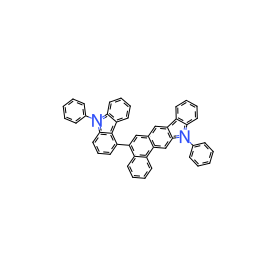 c1ccc(-n2c3ccccc3c3cc4cc(-c5cccc6c5c5ccccc5n6-c5ccccc5)c5ccccc5c4cc32)cc1